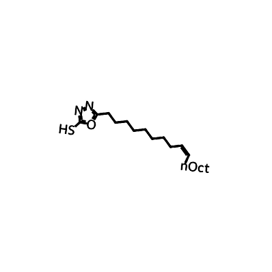 CCCCCCCC/C=C\CCCCCCCCc1nnc(S)o1